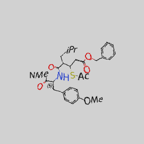 CNC(=O)[C@H](Cc1ccc(OC)cc1)NC(=O)C(CC(C)C)C(CC(=O)OCc1ccccc1)SC(C)=O